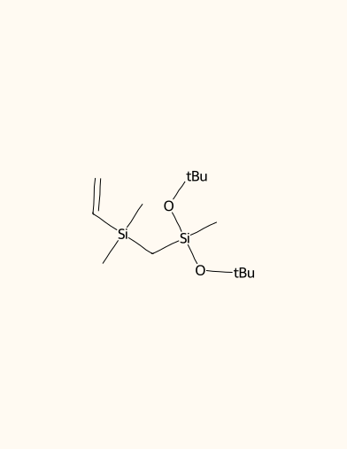 C=C[Si](C)(C)C[Si](C)(OC(C)(C)C)OC(C)(C)C